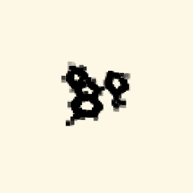 O[C@@H]1COC[C@H]1C1c2ccc(F)cc2-c2cncn21